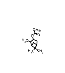 [CH2]OC(=O)OC1CC2CC(C1C)C2(C)C